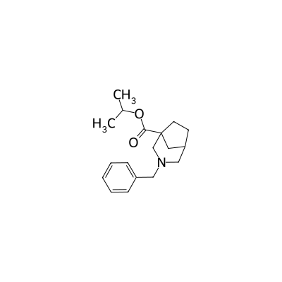 CC(C)OC(=O)C12CCC(CN(Cc3ccccc3)C1)C2